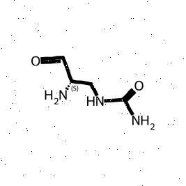 NC(=O)NC[C@H](N)C=O